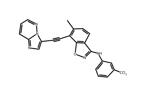 Cc1ccc2c(Nc3cccc(C(Cl)(Cl)Cl)c3)noc2c1C#Cc1cnc2cccnn12